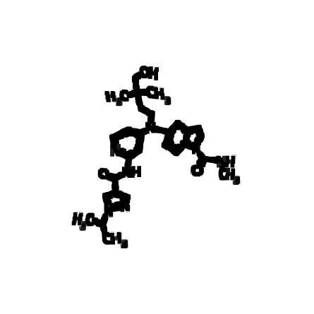 CNC(=O)n1ccc2cc(N(CCC(C)(C)CO)c3ccnc(NC(=O)c4cnn(C(C)C)c4)c3)ccc21